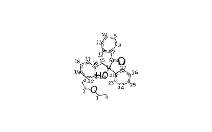 CCOCC.O=C(c1ccccc1)C(O)(Cc1ccccc1)c1ccccc1